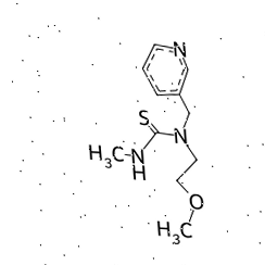 CNC(=S)N(CCOC)Cc1cccnc1